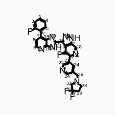 Fc1ccccc1-c1ccnc2[nH]c(-c3n[nH]c4cnc(-c5cncc(CN6CCC(F)(F)C6)c5)c(F)c34)nc12